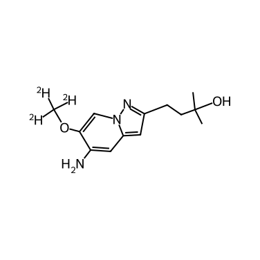 [2H]C([2H])([2H])Oc1cn2nc(CCC(C)(C)O)cc2cc1N